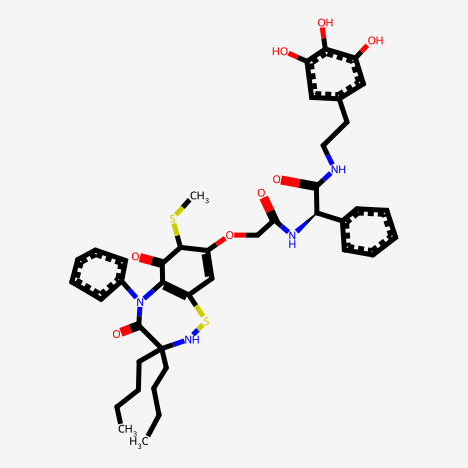 CCCCC1(CCCC)NSC2=C(C(=O)C(SC)C(OCC(=O)N[C@@H](C(=O)NCCc3cc(O)c(O)c(O)c3)c3ccccc3)=C2)N(c2ccccc2)C1=O